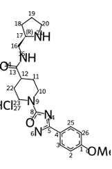 COc1ccc(-c2noc(N3CCC(C(=O)NC[C@H]4CCCN4)CC3)n2)cc1.Cl